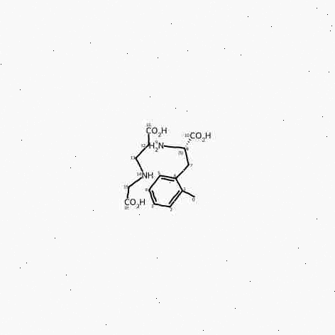 Cc1ccccc1C[C@H](N)C(=O)O.O=C(O)CCNCC(=O)O